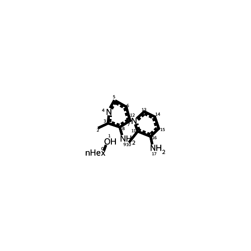 CCCCCCO.Cc1ncccc1N.Cc1ncccc1N